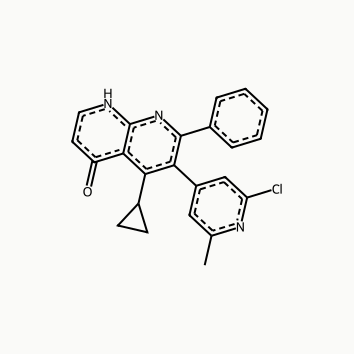 Cc1cc(-c2c(-c3ccccc3)nc3[nH]ccc(=O)c3c2C2CC2)cc(Cl)n1